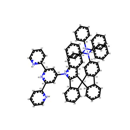 c1ccc(N(c2ccccc2)c2ccc3c(c2)C2(c4ccccc4-3)c3ccccc3-c3c2c2cc(N(c4ccccc4)c4ccccc4)ccc2n3-c2cc(-c3ccccn3)nc(-c3ccccn3)c2)cc1